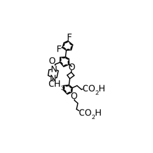 CN1CCN(C(=O)c2cc(OC3CC(c4cccc(OCCCC(=O)O)c4CCC(=O)O)C3)cc(-c3ccc(F)cc3F)c2)CC1